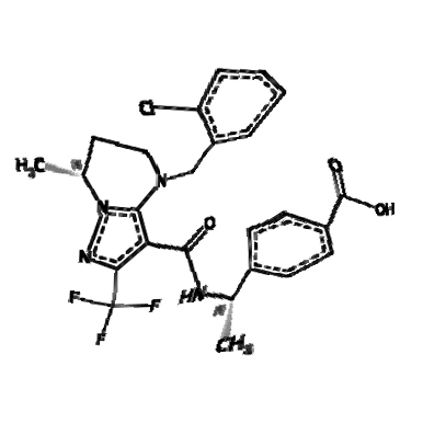 C[C@H](NC(=O)c1c(C(F)(F)F)nn2c1N(Cc1ccccc1Cl)CC[C@H]2C)c1ccc(C(=O)O)cc1